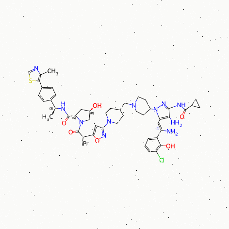 Cc1ncsc1-c1ccc([C@H](C)NC(=O)[C@@H]2C[C@@H](O)CN2C(=O)C(c2cc(N3CCC(CN4CCC(n5nc(NC(=O)C6CC6)c(N)c5/C=C(\N)c5cccc(Cl)c5O)CC4)CC3)no2)C(C)C)cc1